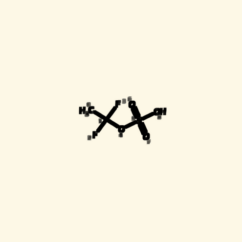 CC(F)(F)OS(=O)(=O)O